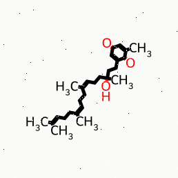 CC(C)=CCCC(C)=CCCC(C)=CCCC(C)(O)CCC1=CC(=O)C=C(C)C1=O